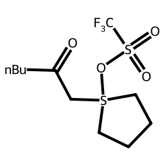 CCCCC(=O)CS1(OS(=O)(=O)C(F)(F)F)CCCC1